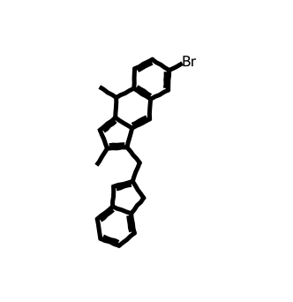 CC1=C(CC2=Cc3ccccc3C2)C2=Cc3cc(Br)ccc3C(C)C2=C1